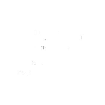 CC(c1ccc(F)cc1)N1CCN(C(=O)O)CC1